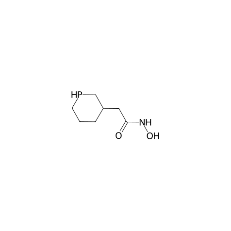 O=C(CC1CCCPC1)NO